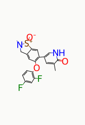 Cc1cc(-c2cc3c(cc2Oc2ccc(F)cc2F)CN(C)[S+]3[O-])c[nH]c1=O